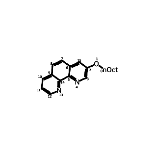 CCCCCCCCOc1cnc2c(ccc3cccnc32)c1